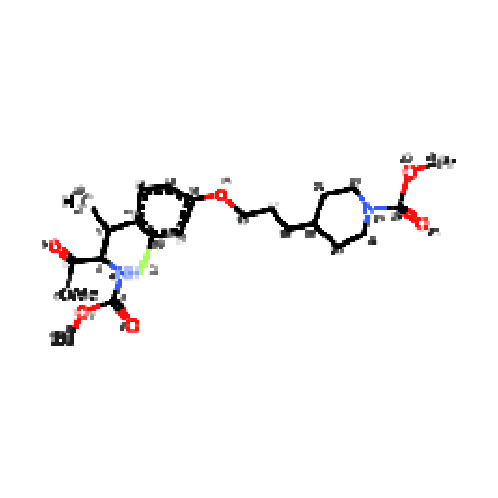 COC(=O)C(NC(=O)OC(C)(C)C)C(C)c1ccc(OCCCC2CCN(C(=O)OC(C)C)CC2)cc1F